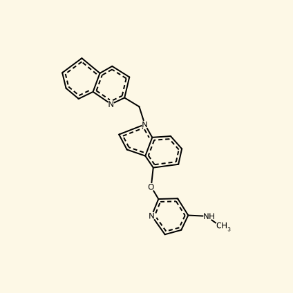 CNc1ccnc(Oc2cccc3c2ccn3Cc2ccc3ccccc3n2)c1